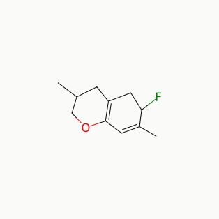 CC1=CC2=C(CC(C)CO2)CC1F